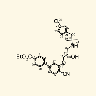 CCOC(=O)c1ccc(-c2ccc(C#N)c(OC[C@@H](O)CNC(C)(C)Cc3ccc(Cl)s3)c2)cc1